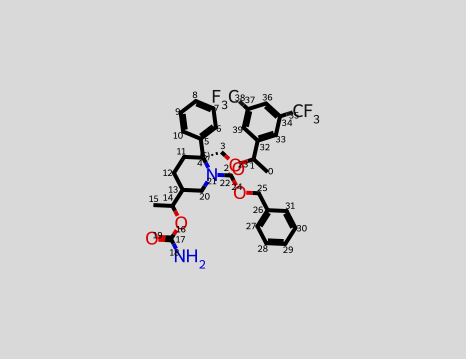 CC(OC[C@@]1(c2ccccc2)CCC(C(C)OC(N)=O)CN1C(=O)OCc1ccccc1)c1cc(C(F)(F)F)cc(C(F)(F)F)c1